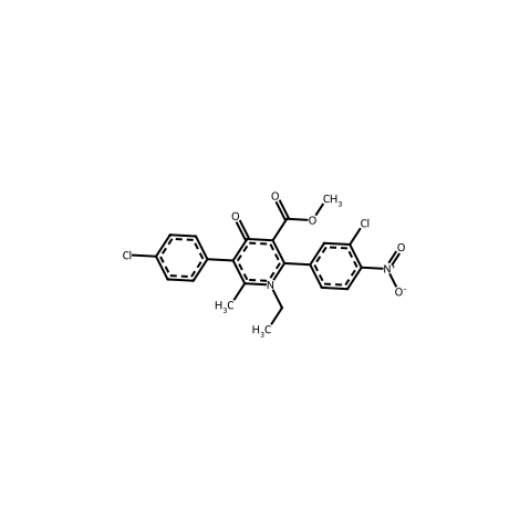 CCn1c(C)c(-c2ccc(Cl)cc2)c(=O)c(C(=O)OC)c1-c1ccc([N+](=O)[O-])c(Cl)c1